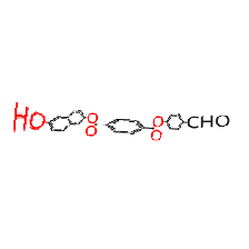 O=Cc1ccc(OC(=O)c2ccc(C(=O)Oc3ccc4cc(O)ccc4c3)cc2)cc1